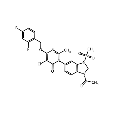 CC(=O)N1CN(S(C)(=O)=O)c2cc(-n3c(C)nc(OCc4ccc(F)cc4F)c(Cl)c3=O)ccc21